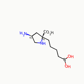 N[C@@H]1CN[C@](CCCCB(O)O)(C(=O)O)C1